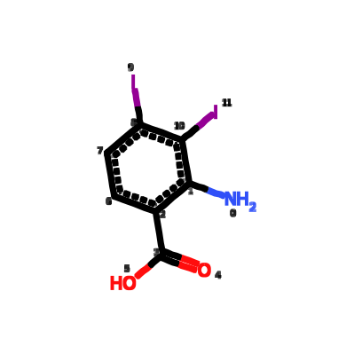 Nc1c(C(=O)O)ccc(I)c1I